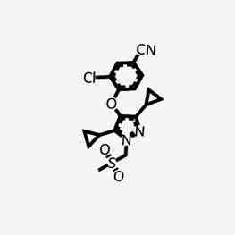 CS(=O)(=O)Cn1nc(C2CC2)c(Oc2ccc(C#N)cc2Cl)c1C1CC1